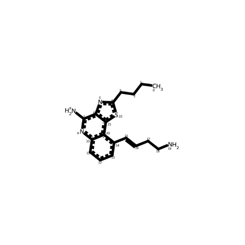 CCCCc1nc2c(N)nc3cccc(/C=C/CCN)c3c2s1